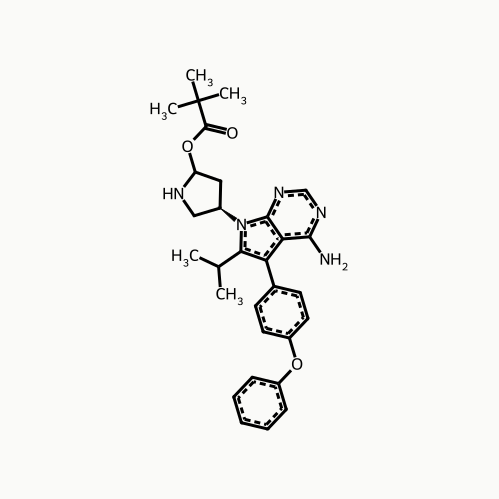 CC(C)c1c(-c2ccc(Oc3ccccc3)cc2)c2c(N)ncnc2n1[C@H]1CNC(OC(=O)C(C)(C)C)C1